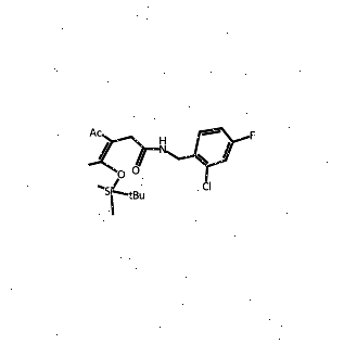 CC(=O)C(CC(=O)NCc1ccc(F)cc1Cl)=C(C)O[Si](C)(C)C(C)(C)C